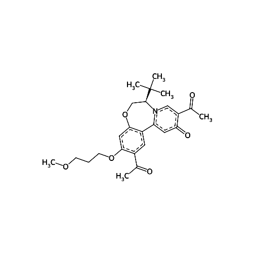 COCCCOc1cc2c(cc1C(C)=O)-c1cc(=O)c(C(C)=O)cn1[C@H](C(C)(C)C)CO2